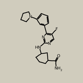 NC(=O)C1CCCC(Nc2ncc(F)c(-c3cccc(N4CCCC4)c3)n2)C1